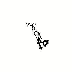 O=C(O)COC[C@H]1CC[C@H](Cn2ncc(Br)c2-c2ccccc2)CC1